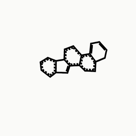 C1=CCc2ccc3c4c(ccc3c2=C1)-c1ccccc1C=4